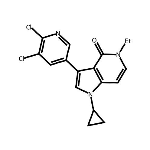 CCn1ccc2c(c(-c3cnc(Cl)c(Cl)c3)cn2C2CC2)c1=O